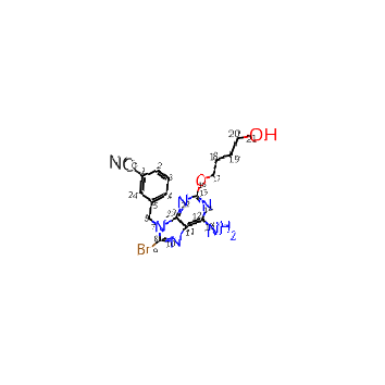 N#Cc1cccc(Cn2c(Br)nc3c(N)nc(OCCCCO)nc32)c1